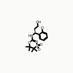 CC1(C)OC(N[C@@H](CCO)c2ccccc2Cl)=NS(=O)(=O)C1(C)C